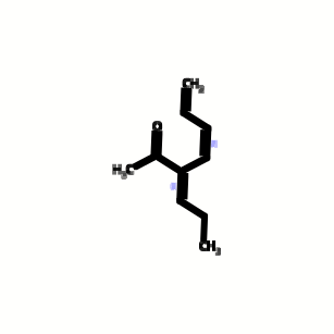 C=C/C=C\C(=C/CC)C(C)=O